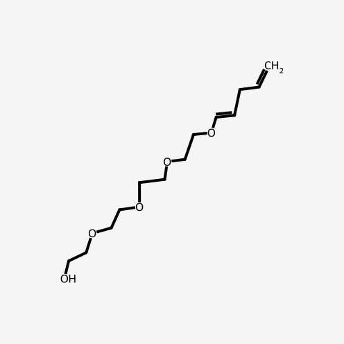 C=CCC=COCCOCCOCCOCCO